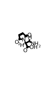 [2H]C(N)[C@@]([2H])(C(=O)O)N1C(=O)C=CC1=O